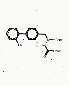 CCCCCN(Cc1ccc(-c2ccccc2C#N)cc1)[C@H](C(=O)OC)[C@@H](C)CC